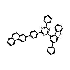 c1ccc(-c2cc(-c3nc(-c4ccccc4)nc(-c4ccc(-c5ccc6c(ccc7ccccc76)c5)cc4)n3)c3c(c2)oc2ccccc23)cc1